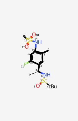 Cc1cc([C@@H](C)N[S@+]([O-])C(C)(C)C)c(F)cc1NS(C)(=O)=O